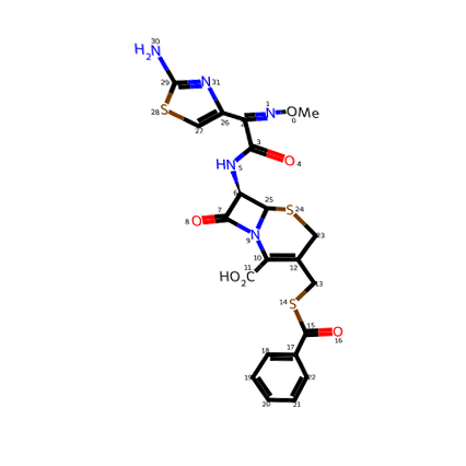 CO/N=C(\C(=O)N[C@@H]1C(=O)N2C(C(=O)O)=C(CSC(=O)c3ccccc3)CSC12)c1csc(N)n1